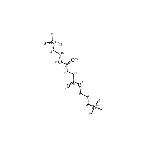 C[N+](C)(C)CCCOC(=O)CCC(=O)OCC[N+](C)(C)C